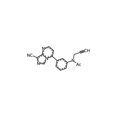 C#CCN(C(C)=O)c1cccc(-c2ccnc3c(C#N)ncn23)c1